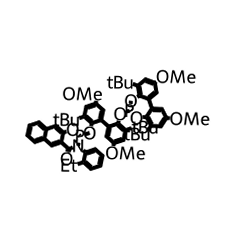 CCc1ccccc1N1C(=O)c2cc3ccccc3cc2OP1Oc1c(-c2cc(OC)cc(C(C)(C)C)c2Op2oc3c(C(C)(C)C)cc(OC)cc3c3cc(OC)cc(C(C)(C)C)c3o2)cc(OC)cc1C(C)(C)C